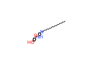 CCCCCCCCCCCCCCCCCC=Nc1ccc(NC(=O)c2ccc(O)cc2)cc1